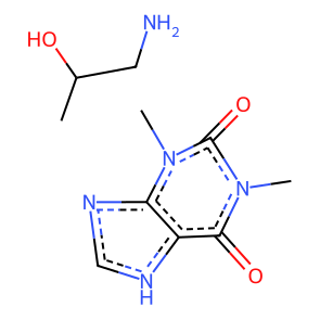 CC(O)CN.Cn1c(=O)c2[nH]cnc2n(C)c1=O